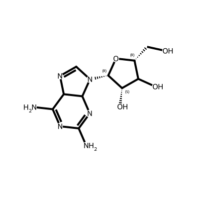 NC1=NC2C(N=CN2[C@@H]2O[C@H](CO)C(O)[C@@H]2O)C(N)=N1